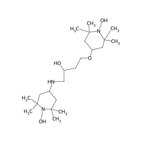 CC1(C)CC(NCC(O)CCOC2CC(C)(C)N(O)C(C)(C)C2)CC(C)(C)N1O